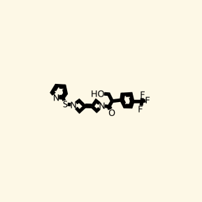 O=C(C(CO)c1ccc(C(F)(F)F)cc1)N1CC(=C2CN(Sc3ccccn3)C2)C1